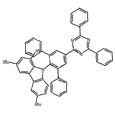 CC(C)(C)c1ccc2c(c1)c1cc(C(C)(C)C)cc(C(C)(C)C)c1n2-c1c(-c2ccccc2)cc(-c2nc(-c3ccccc3)nc(-c3ccccc3)n2)cc1-c1ccccc1